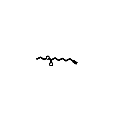 C#CCCCCCC(=O)OCCC